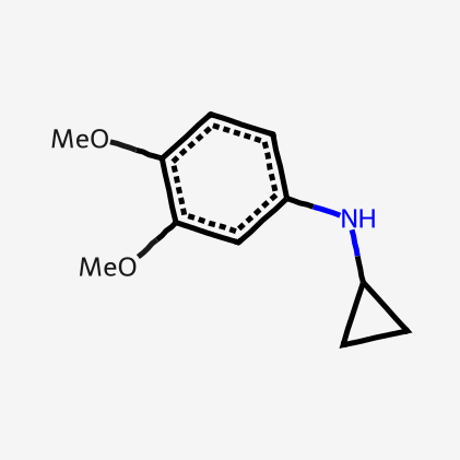 COc1ccc(NC2CC2)cc1OC